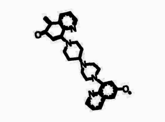 C=C1C(=O)C=C(N2CCC(N3CCN(c4cc(OC)cc5cccnc45)CC3)CC2)c2ncccc21